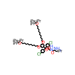 CC(C)C[C@H](N)C(=O)NCC(=O)OC(c1ccc(Cl)cc1)(c1ccc(Cl)cc1)c1cc(OCCCCCCCCCCCO[Si](C(C)C)(C(C)C)C(C)C)cc(OCCCCCCCCCCCO[Si](C(C)C)(C(C)C)C(C)C)c1